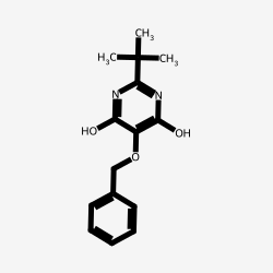 CC(C)(C)c1nc(O)c(OCc2ccccc2)c(O)n1